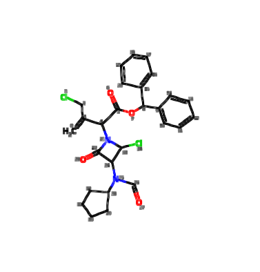 C=C(CCl)C(C(=O)OC(c1ccccc1)c1ccccc1)N1C(=O)C(N(C=O)C2CCCC2)C1Cl